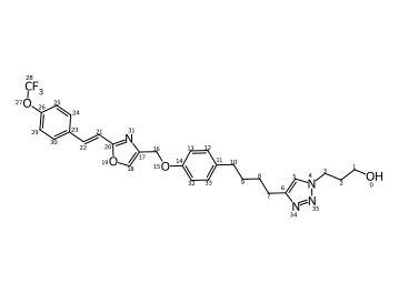 OCCCn1cc(CCCCc2ccc(OCc3coc(/C=C/c4ccc(OC(F)(F)F)cc4)n3)cc2)nn1